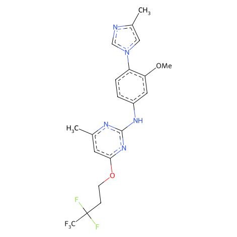 COc1cc(Nc2nc(C)cc(OCCC(F)(F)C(F)(F)F)n2)ccc1-n1cnc(C)c1